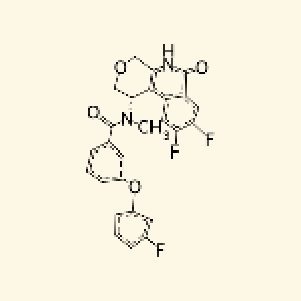 CN(C(=O)c1cccc(Oc2cccc(F)c2)c1)[C@@H]1COCc2[nH]c(=O)c3cc(F)c(F)cc3c21